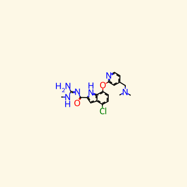 CNC(N)=NC(=O)c1cc2c(Cl)ccc(Oc3cc(CN(C)C)ccn3)c2[nH]1